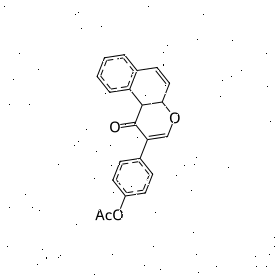 CC(=O)Oc1ccc(C2=COC3C=Cc4ccccc4C3C2=O)cc1